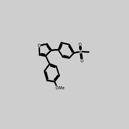 COc1ccc(-c2cocc2-c2ccc(S(C)(=O)=O)cc2)cc1